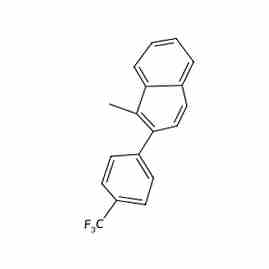 Cc1c(-c2ccc(C(F)(F)F)cc2)ccc2ccccc12